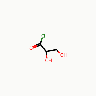 O=C(Cl)C(O)CO